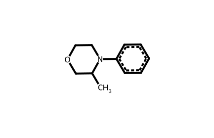 CC1COCCN1c1ccccc1